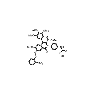 COC(=O)c1c(-c2cc(OC)c(OC)c(OC)c2)c2cc(OC)c(OCc3ccccc3[N+](=O)[O-])cc2c(=O)n1-c1ccc(NC(=O)OC(C)(C)C)cc1